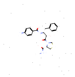 CC(C)(C)NC(=O)[C@@H]1CSCN1C(=O)[C@@H](O)[C@H](Cc1ccccc1)NC(=O)c1ccc(N)cc1